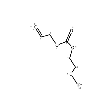 C=CCOC(=O)OCCOC(C)C